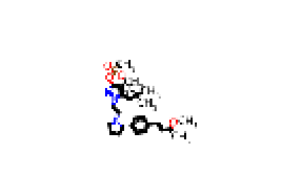 C=C(/C=C/c1ccc([C@@H]2CCCN2CCn2nc(OS(C)(=O)=O)c(C)c2CC(C)(C)C)cc1)OC